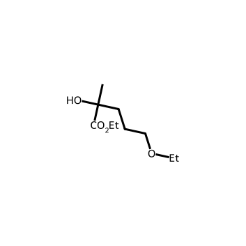 CCOCCCC(C)(O)C(=O)OCC